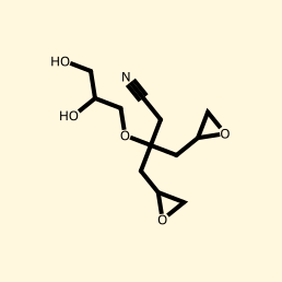 N#CCC(CC1CO1)(CC1CO1)OCC(O)CO